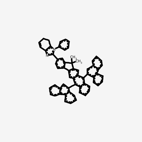 CC1(C)c2cc(-c3nc4c(n3-c3ccccc3)CCC=C4)ccc2-c2cc3c(-c4cc5ccccc5c5ccccc45)c4ccccc4c(-c4cc5ccccc5c5ccccc45)c3cc21